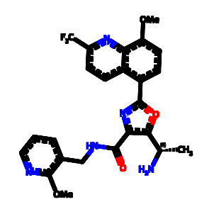 COc1ncccc1CNC(=O)c1nc(-c2ccc(OC)c3nc(C(F)(F)F)ccc23)oc1[C@H](C)N